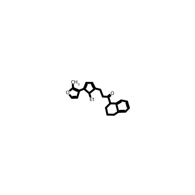 CCC1C(CCC(=O)C2CCCc3ccccc32)=CC=C1c1ccoc1C